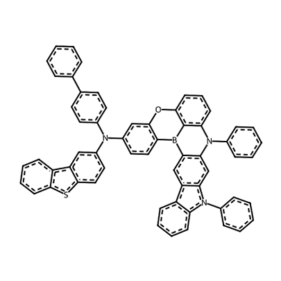 c1ccc(-c2ccc(N(c3ccc4c(c3)Oc3cccc5c3B4c3cc4c6ccccc6n(-c6ccccc6)c4cc3N5c3ccccc3)c3ccc4sc5ccccc5c4c3)cc2)cc1